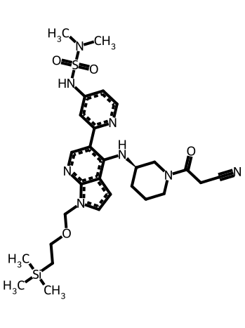 CN(C)S(=O)(=O)Nc1ccnc(-c2cnc3c(ccn3COCC[Si](C)(C)C)c2N[C@@H]2CCCN(C(=O)CC#N)C2)c1